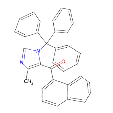 Cc1ncn(C(c2ccccc2)(c2ccccc2)c2ccccc2)c1C(=O)c1cccc2ccccc12